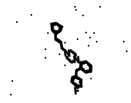 Fc1ccc(Cc2ccccc2N2CCN(CC=Cc3ccccc3)CC2)cc1